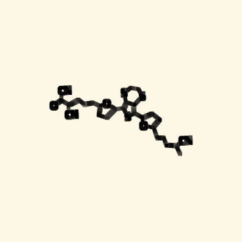 C/C(C#N)=C/C=C/c1ccc(-c2sc(-c3ccc(/C=C/C=C(\C#N)C(=O)C#N)o3)c3c2SCCS3)o1